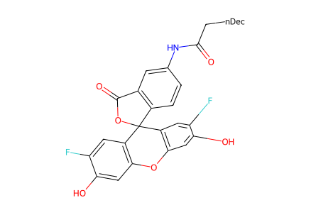 CCCCCCCCCCCC(=O)Nc1ccc2c(c1)C(=O)OC21c2cc(F)c(O)cc2Oc2cc(O)c(F)cc21